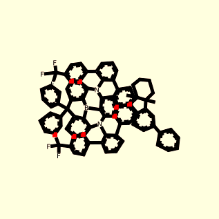 CC12CCCCC1(C)N(c1cc3c4c(c1)N(c1c(-c5ccccc5)cccc1-c1ccc(C(F)(F)F)cc1)c1cccc5c1B4c1c(cccc1C5(c1ccccc1)c1ccccc1)N3c1c(-c3ccccc3)cccc1-c1ccc(C(F)(F)F)cc1)c1ccc(-c3ccccc3)cc12